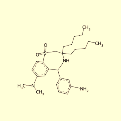 CCCCCC1(CCCCC)CS(=O)(=O)c2ccc(N(C)C)cc2C(c2cccc(N)c2)N1